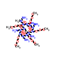 C#CCN(CC(C)=O)C(=O)CN(CCN)C(=O)CN(CCOCCOCCOC)C(=O)CN(CCN)C(=O)CN(CCOCCOCCOC)C(=O)CN(CCN)C(=O)CN(CCOCCOCCOC)C(=O)CN(CCN)C(=O)CN(CCOCCOCCOC)C(=O)CN(CCN)C(=O)CN(CCOCCOCCOC)C(=O)CN(C)CCN